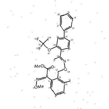 CO/N=C(/C(=O)OC)c1cccc(C)c1CO/N=C(\C)c1ccc(-c2ccccc2)cc1OC(F)(F)I